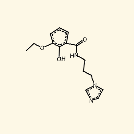 CCOc1cccc(C(=O)NCCCn2ccnc2)c1O